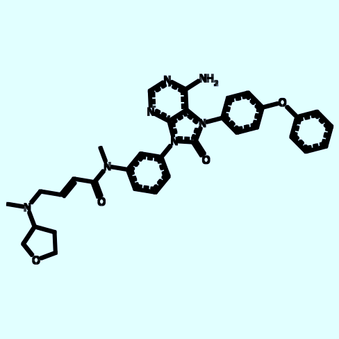 CN(C(=O)C=CCN(C)C1CCOC1)c1cccc(-n2c(=O)n(-c3ccc(Oc4ccccc4)cc3)c3c(N)ncnc32)c1